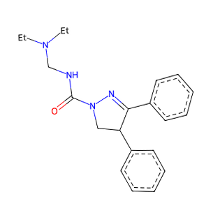 CCN(CC)CNC(=O)N1CC(c2ccccc2)C(c2ccccc2)=N1